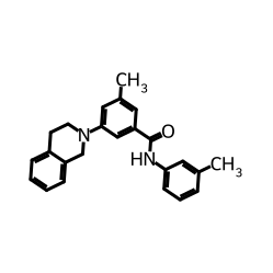 Cc1cccc(NC(=O)c2cc(C)cc(N3CCc4ccccc4C3)c2)c1